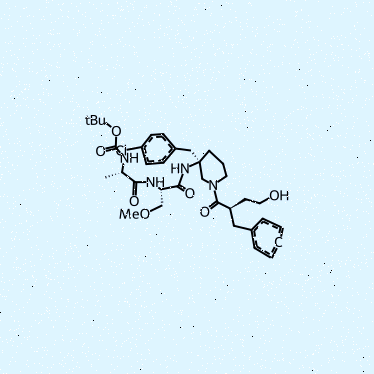 COC[C@H](NC(=O)[C@H](C)NC(=O)OC(C)(C)C)C(=O)N[C@@]1(Cc2ccc(Cl)cc2)CCCN(C(=O)[C@@H](CCO)Cc2ccccc2)C1